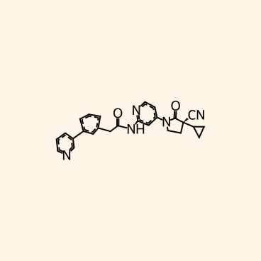 N#C[C@@]1(C2CC2)CCN(c2ccnc(NC(=O)Cc3cccc(-c4cccnc4)c3)c2)C1=O